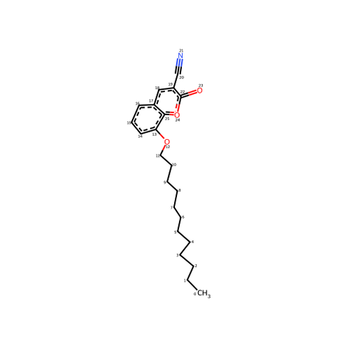 CCCCCCCCCCCCOc1cccc2cc(C#N)c(=O)oc12